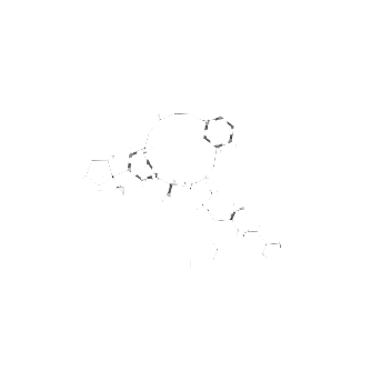 CCC[C@H](NC[C@@H]1Cc2cccc(c2)CCCCc2cc(cc(C3(N)CCCC3)c2)C(=O)N1)C(=O)NCC(C)C